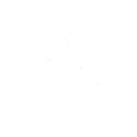 CC(C)(C)c1ccc2c(c1)C1(CCN(CCC(F)(F)F)CC1)CN2C(=O)c1cc2ccccc2s1